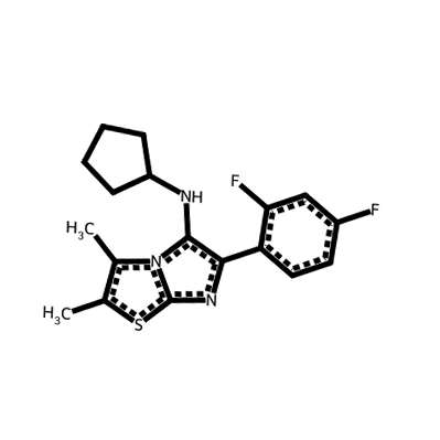 Cc1sc2nc(-c3ccc(F)cc3F)c(NC3CCCC3)n2c1C